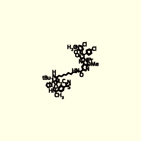 COc1ncc(C(=O)NCCCCCCCCC(=O)N[C@H](C(=O)N2CCC[C@H]2C(=O)N[C@@H](C)c2ccc(-c3scnc3C)cc2)C(C)(C)C)cc1-c1nc2c(n1C(C)C)[C@H](c1ccc(Cl)cc1)N(c1cc(Cl)cn(C)c1=O)C2=O